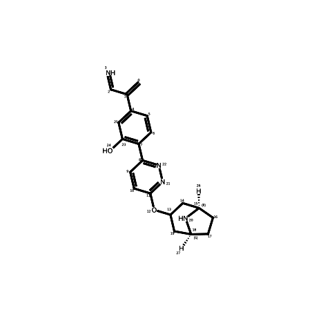 C=C(C=N)c1ccc(-c2ccc(OC3C[C@H]4CC[C@@H](C3)N4)nn2)c(O)c1